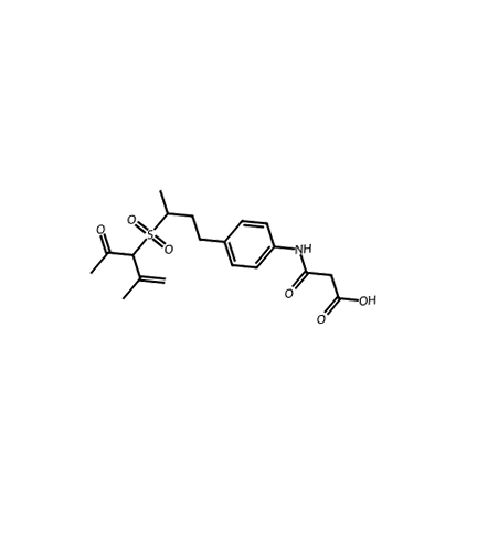 C=C(C)C(C(C)=O)S(=O)(=O)C(C)CCc1ccc(NC(=O)CC(=O)O)cc1